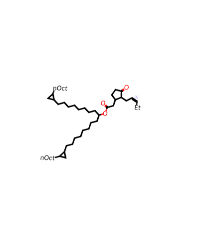 CC/C=C\CC1C(=O)CCC1CC(=O)OC(CCCCCCCCC1CC1CCCCCCCC)CCCCCCCCC1CC1CCCCCCCC